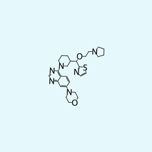 c1csc(C(OCCN2CCCC2)C2CCCN(c3ncnc4cc(N5CCOCC5)ccc34)C2)n1